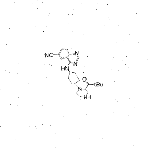 CC(C)(C)C(=O)C1CNCCN1[C@H]1CC[C@H](Nc2ncnc3ccc(C#N)cc23)CC1